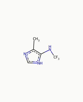 Cc1nc[nH]c1NC(F)(F)F